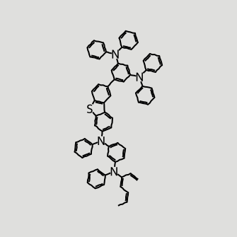 C=C/C(=C\C=C/C)N(c1ccccc1)c1cccc(N(c2ccccc2)c2ccc3c(c2)sc2ccc(-c4cc(N(c5ccccc5)c5ccccc5)cc(N(c5ccccc5)c5ccccc5)c4)cc23)c1